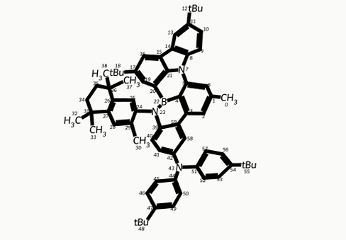 Cc1cc2c3c(c1)-n1c4ccc(C(C)(C)C)cc4c4cc(C(C)(C)C)cc(c41)B3N(c1cc3c(cc1C)C(C)(C)CCC3(C)C)c1ccc(N(c3ccc(C(C)(C)C)cc3)c3ccc(C(C)(C)C)cc3)cc1-2